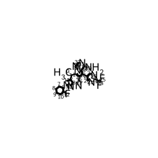 C[C@@H](c1cnn(-c2ccccc2F)c1)c1c(C#N)c(-c2cnc(C(F)F)nc2)c2c(N)ncnn12